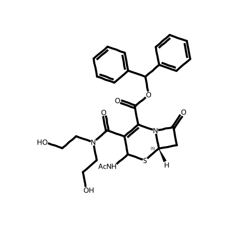 CC(=O)NC1S[C@H]2CC(=O)N2C(C(=O)OC(c2ccccc2)c2ccccc2)=C1C(=O)N(CCO)CCO